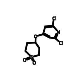 O=S1(=O)CCC(Oc2cc(Cl)nc(Cl)c2)CC1